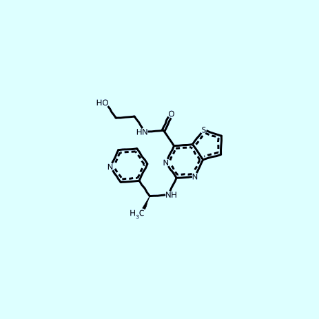 C[C@H](Nc1nc(C(=O)NCCO)c2sccc2n1)c1cccnc1